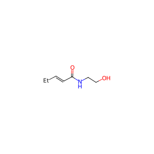 CCC=CC(=O)NCCO